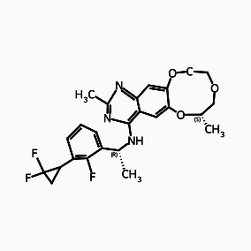 Cc1nc(N[C@H](C)c2cccc(C3CC3(F)F)c2F)c2cc3c(cc2n1)OCCOC[C@H](C)O3